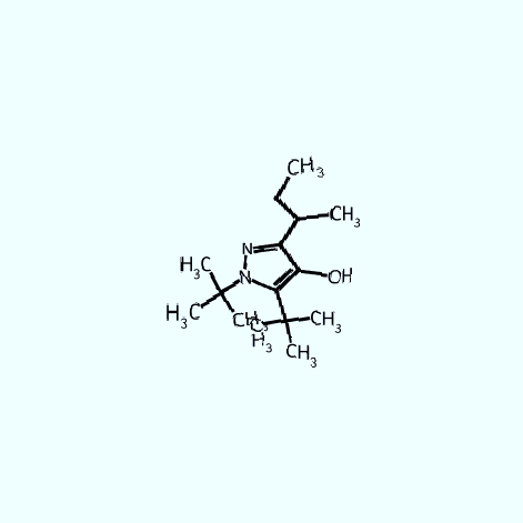 CCC(C)c1nn(C(C)(C)C)c(C(C)(C)C)c1O